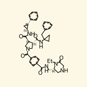 CCN1C(=O)CNC[C@@H]1CNC(=O)c1ccc(C(=O)N2C[C@@H](C(=O)N[C@H]3C[C@@H]3c3ccccc3)[C@H](C(=O)NC3(Cc4ccccc4)CC3)C2)cc1